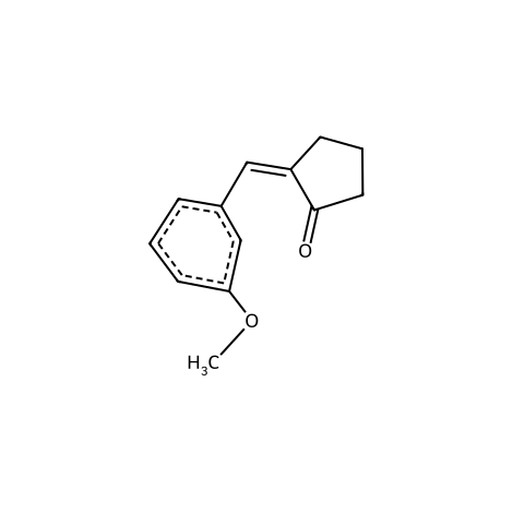 COc1cccc(/C=C2/CCCC2=O)c1